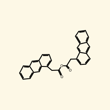 O=C(Cc1cccc2cc3ccccc3cc12)OC(=O)Cc1cccc2cc3ccccc3cc12